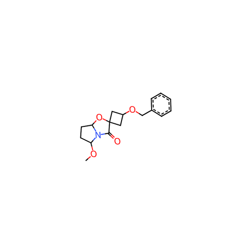 COC1CCC2OC3(CC(OCc4ccccc4)C3)C(=O)N12